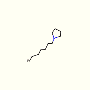 CC(C)[CH]CCCCCN1CCCC1